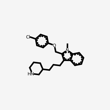 Cn1c(COc2ccc(Cl)cc2)c(CCCC2CCCNC2)c2ccccc21